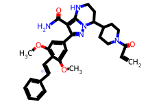 C=CC(=O)N1CCC(C2CCNc3c(C(N)=O)c(-c4cc(OC)c(/C=C/c5ccccc5)c(OC)c4)nn32)CC1